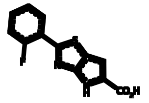 O=C(O)c1cc2sc(-c3ccccc3F)nc2[nH]1